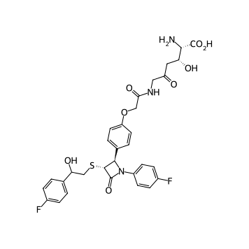 N[C@H](C(=O)O)[C@H](O)CC(=O)CNC(=O)COc1ccc([C@@H]2[C@@H](SCC(O)c3ccc(F)cc3)C(=O)N2c2ccc(F)cc2)cc1